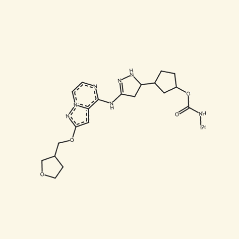 CC(C)NC(=O)OC1CCC(C2CC(Nc3nccn4nc(OCC5CCOC5)cc34)=NN2)C1